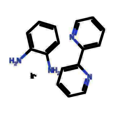 Nc1ccccc1N.[Ir].c1ccc(-c2ccccn2)nc1